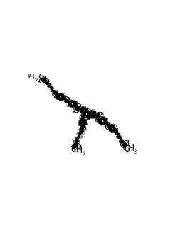 C=CC(=O)OCCCCCCOc1ccc(OCC2CCC(OC(=O)c3ccc4c(c3)nc(Oc3ccc(OCCCCCCOC(=O)C=C)cc3)c3cc(C(=O)OC5CCC(COc6ccc(OCCCCCCOC(=O)C=C)cc6)CC5)ccc34)CC2)cc1